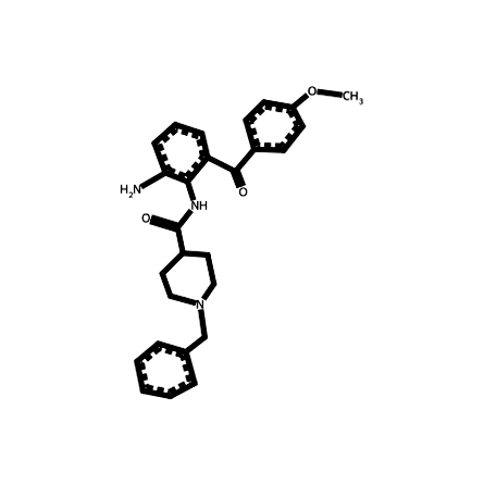 COc1ccc(C(=O)c2cccc(N)c2NC(=O)C2CCN(Cc3ccccc3)CC2)cc1